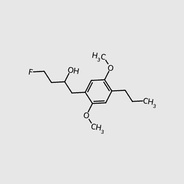 CCCc1cc(OC)c(CC(O)CCF)cc1OC